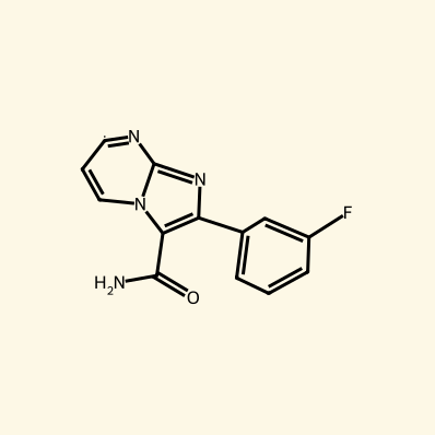 NC(=O)c1c(-c2cccc(F)c2)nc2n[c]ccn12